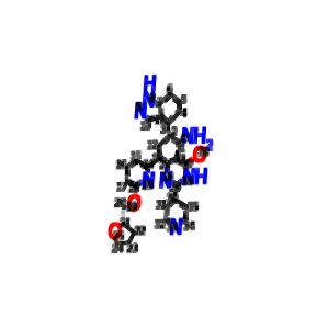 Nc1c(-c2cccc3[nH]ncc23)cc(-c2cccc(OC[C@@H]3CCCO3)n2)c2nc(-c3ccncc3)[nH]c(=O)c12